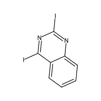 Ic1nc(I)c2ccccc2n1